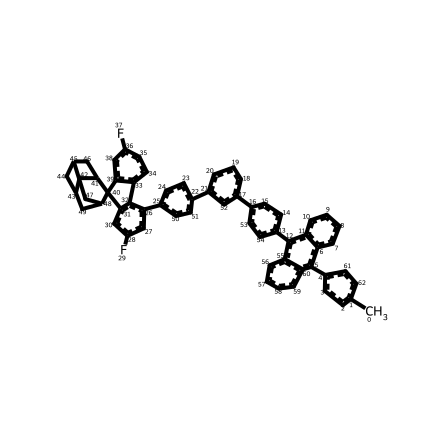 Cc1ccc(-c2c3ccccc3c(-c3ccc(-c4cccc(-c5ccc(-c6cc(F)cc7c6-c6ccc(F)cc6C76C7CC8CC(C7)CC6C8)cc5)c4)cc3)c3ccccc23)cc1